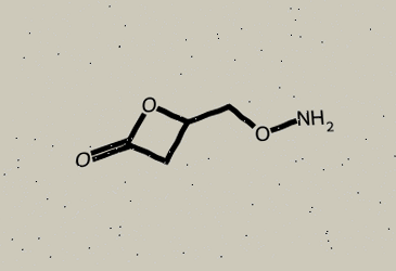 NOCC1CC(=O)O1